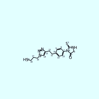 O=C1CNC(=S)N1c1ccc(CCc2cn(CCCS)nn2)cc1